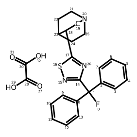 FC(c1ccccc1)(c1ccccc1)c1nsc(C2CN3CCC2CC3)n1.O=C(O)C(=O)O